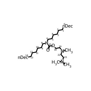 CCCCCCCCCCCCCCCCN(CCCCCCCCCCCCCCCC)C(=O)OCCN(C)CCN(C)C